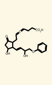 O=C(O)CCC=C=CCC1C(=O)CC(O)C1C=CC(O)COc1ccccc1